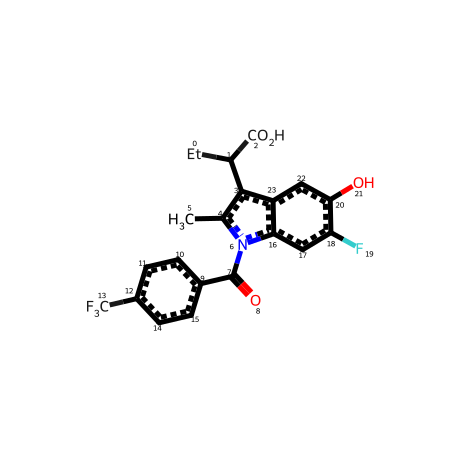 CCC(C(=O)O)c1c(C)n(C(=O)c2ccc(C(F)(F)F)cc2)c2cc(F)c(O)cc12